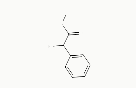 O=C(NCl)C(O)c1ccccc1